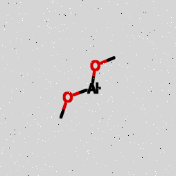 C[O][Al][O]C